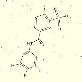 CS(=O)(=O)c1cc(C(=O)Nc2cc(F)c(F)c(F)c2)ccc1F